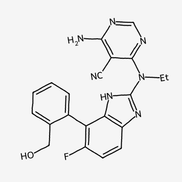 CCN(c1nc2ccc(F)c(-c3ccccc3CO)c2[nH]1)c1ncnc(N)c1C#N